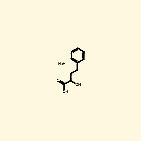 O=C(O)C(O)CCc1ccccc1.[NaH]